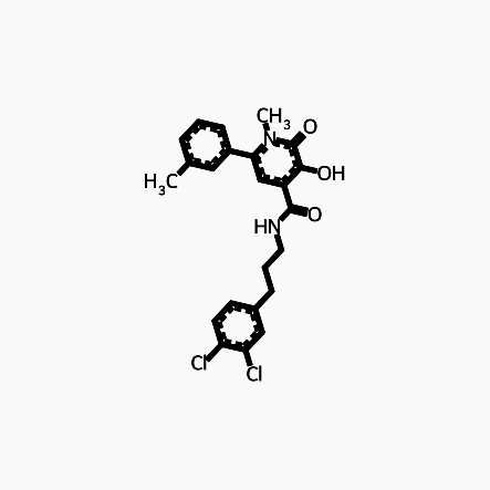 Cc1cccc(-c2cc(C(=O)NCCCc3ccc(Cl)c(Cl)c3)c(O)c(=O)n2C)c1